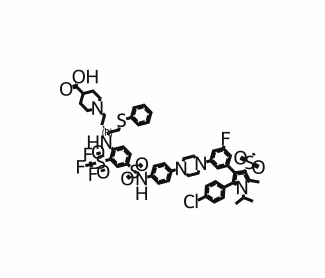 Cc1c(S(C)(=O)=O)c(-c2cc(F)cc(N3CCN(c4ccc(NS(=O)(=O)c5ccc(N[C@H](CCN6CCC(C(=O)O)CC6)CSc6ccccc6)c(S(=O)(=O)C(F)(F)F)c5)cc4)CC3)c2)c(-c2ccc(Cl)cc2)n1C(C)C